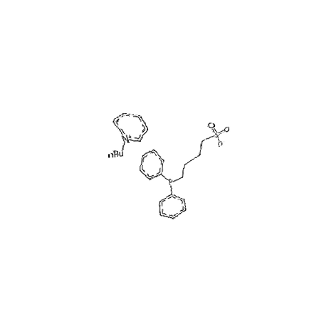 CCCC[n+]1ccccc1.O=S(=O)([O-])CCCCP(c1ccccc1)c1ccccc1